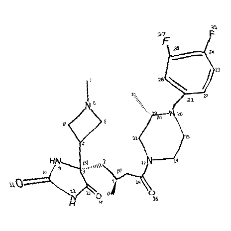 C[C@@H](C[C@@]1(C2CN(C)C2)NC(=O)NC1=O)C(=O)N1CCN(c2ccc(F)c(F)c2)[C@@H](C)C1